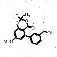 COc1cc2c(c(-c3cccc(CO)c3)c1)C(=O)OC(C)(C)O2